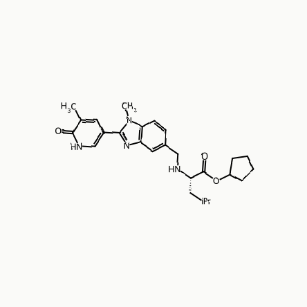 Cc1cc(-c2nc3cc(CN[C@@H](CC(C)C)C(=O)OC4CCCC4)ccc3n2C)c[nH]c1=O